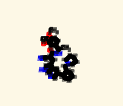 COc1ccc([C@@H](C)NC(=O)/C(C#N)=C/c2c[nH]c3ncc(-c4ccccc4CN4CCCCC4)cc23)cc1OC